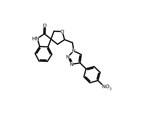 O=C1Nc2ccccc2C12COC(Cn1cc(-c3ccc([N+](=O)[O-])cc3)nn1)C2